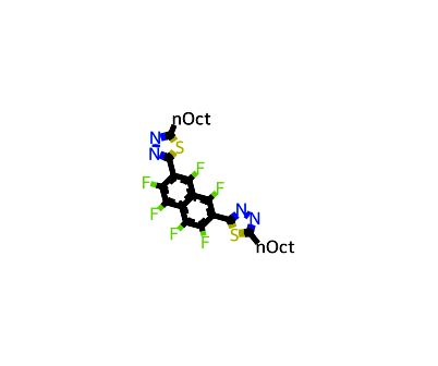 CCCCCCCCc1nnc(-c2c(F)c(F)c3c(F)c(F)c(-c4nnc(CCCCCCCC)s4)c(F)c3c2F)s1